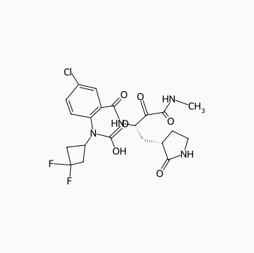 CNC(=O)C(=O)[C@H](C[C@@H]1CCNC1=O)NC(=O)c1cc(Cl)ccc1N(C(=O)O)C1CC(F)(F)C1